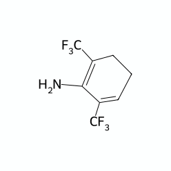 NC1=C(C(F)(F)F)CCC=C1C(F)(F)F